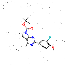 COc1ccc(-c2nc(C)c3ccn(C(=O)OC(C)(C)C)c3n2)cc1F